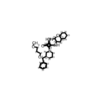 COCCCO[C@@H](c1ccccc1)[C@@H]1CCCN(c2c(NC(CC3CCCCC3)C(C)N)c(=O)c2=O)C1